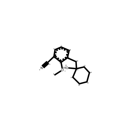 COc1c(C#N)cccc1CC1(O)CCCCC1